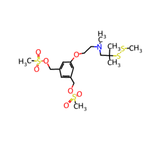 CSSC(C)(C)CN(C)CCOc1cc(COS(C)(=O)=O)cc(COS(C)(=O)=O)c1